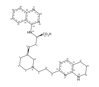 O=C(O)[C@@H](CO[C@@H]1CCCN(CCCc2ccc3c(n2)NCCC3)C1)Nc1ncnc2ccccc12